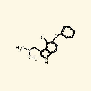 CN(C)Cc1c[nH]c2ccc(Oc3ccccc3)c(Cl)c12